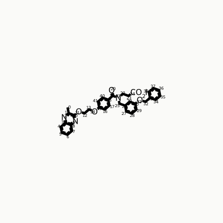 Cc1nc2ccccc2nc1OCCOc1ccc(C(=O)N(CCC(=O)O)Cc2cccc(OCc3ccccc3)c2)cc1